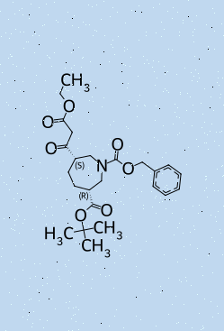 CCOC(=O)CC(=O)[C@H]1CC[C@@H](C(=O)OC(C)(C)C)CN(C(=O)OCc2ccccc2)C1